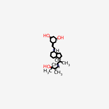 CC(/C=C/[C@H](C)C(C)(C)O)[C@H]1CC[C@H]2/C(=C/C=C3C[C@@H](O)C[C@H](O)C3)CCC[C@]12C